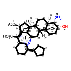 CC(=O)O[C@H]1C[C@@]2(C)[C@H](/C1=C(/C(=O)O)C1CCCC(=C3CCCC3)C1)[C@H](N)C[C@H]1[C@@]3(C)CC[C@@H](O)[C@@H](N)[C@@H]3CC[C@@]12C